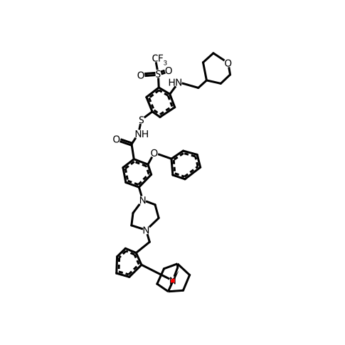 O=C(NSc1ccc(NCC2CCOCC2)c(S(=O)(=O)C(F)(F)F)c1)c1ccc(N2CCN(Cc3ccccc3N3CC4CCC(CC4)C3)CC2)cc1Oc1ccccc1